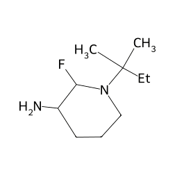 CCC(C)(C)N1CCCC(N)C1F